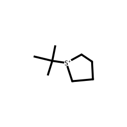 CC(C)(C)[S+]1CCCC1